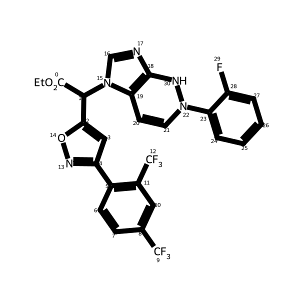 CCOC(=O)C(c1cc(-c2ccc(C(F)(F)F)cc2C(F)(F)F)no1)n1cnc2c1C=CN(c1ccccc1F)N2